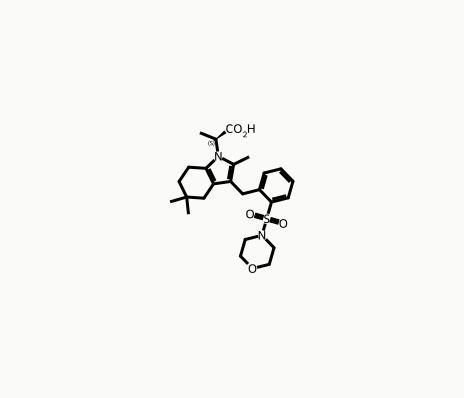 Cc1c(Cc2ccccc2S(=O)(=O)N2CCOCC2)c2c(n1[C@@H](C)C(=O)O)CCC(C)(C)C2